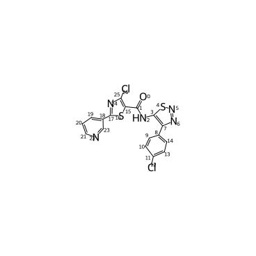 O=C(Nc1snnc1-c1ccc(Cl)cc1)c1sc(-c2cccnc2)nc1Cl